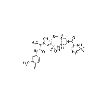 C=C(C(=O)Nc1ccc(F)c(C)c1)N(C)/C=C1\CSC[C@@H]2CN(C(=O)C(=O)NC3(C)CC3)C[C@@H]2NS1(=O)=O